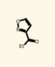 [CH2]CC(=O)c1ccon1